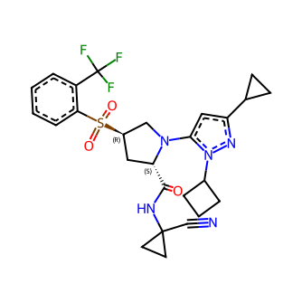 N#CC1(NC(=O)[C@@H]2C[C@@H](S(=O)(=O)c3ccccc3C(F)(F)F)CN2c2cc(C3CC3)nn2C2CCC2)CC1